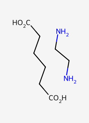 NCCN.O=C(O)CCCCC(=O)O